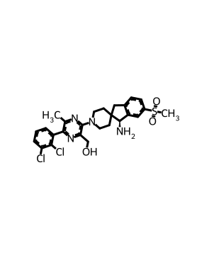 Cc1nc(N2CCC3(CC2)Cc2ccc(S(C)(=O)=O)cc2[C@H]3N)c(CO)nc1-c1cccc(Cl)c1Cl